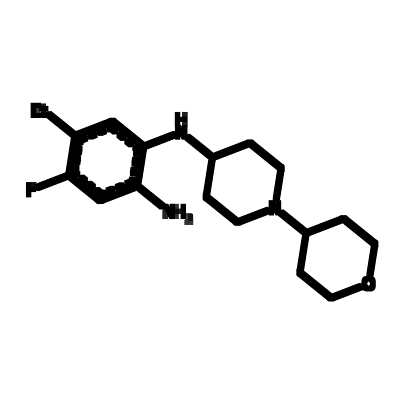 CCc1cc(NC2CCN(C3CCOCC3)CC2)c(N)cc1F